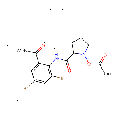 CNC(=O)c1cc(Br)cc(Br)c1NC(=O)C1CCCN1OC(=O)C(C)(C)C